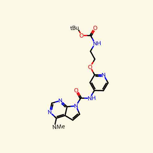 CNc1ncnc2c1ccn2C(=O)Nc1ccnc(OCCNC(=O)OC(C)(C)C)c1